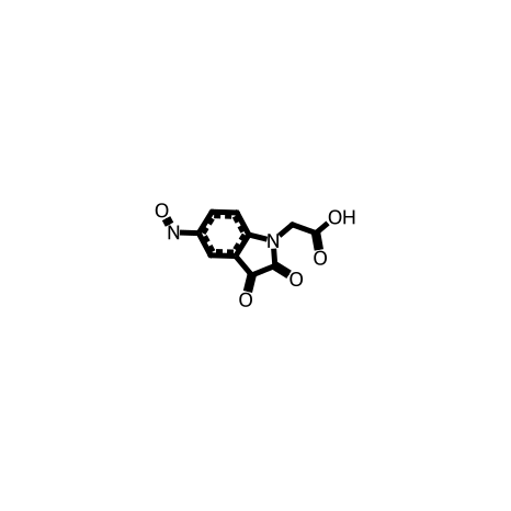 O=Nc1ccc2c(c1)C(=O)C(=O)N2CC(=O)O